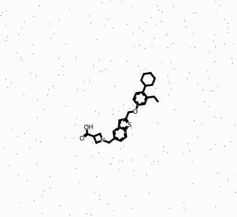 CCc1cc(OCc2cc3cc(CN4CC(C(=O)O)C4)ccc3s2)ccc1C1CCCCC1